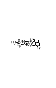 Cc1ccc(C(C)C)c(CC(=O)O)c1-c1ccnc(OCC(C)(C)n2cc(F)c(S(N)(=O)=O)n2)c1